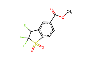 COC(=O)c1ccc2c(c1)C(F)C(F)(F)S2(=O)=O